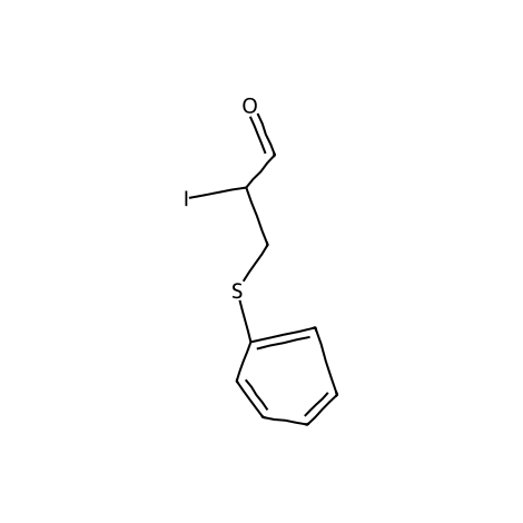 O=CC(I)CSc1ccccc1